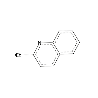 C[C]c1ccc2ccccc2n1